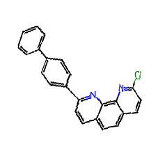 Clc1ccc2ccc3ccc(-c4ccc(-c5ccccc5)cc4)nc3c2n1